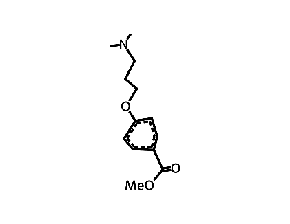 COC(=O)c1ccc(OCCCN(C)C)cc1